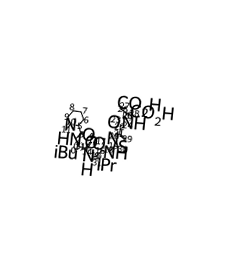 CCC(C)[C@H](NC(=O)C1CCCCN1C)C(=O)N[C@H](C(=O)Nc1nc(C(=O)N[C@@H](CC(=O)O)C(=O)O)cs1)C(C)C